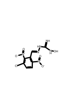 N=C(NO)N/N=C/c1c([N+](=O)[O-])ccc(Cl)c1[N+](=O)[O-]